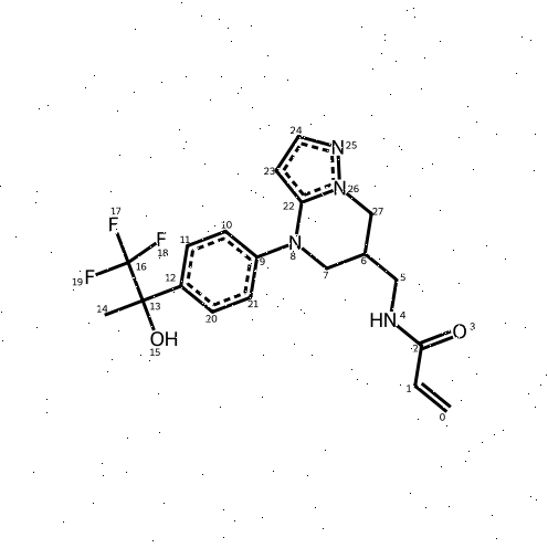 C=CC(=O)NCC1CN(c2ccc(C(C)(O)C(F)(F)F)cc2)c2ccnn2C1